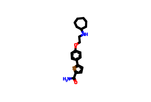 NC(=O)c1ccc(-c2ccc(OCCNC3CCCCCC3)cc2)s1